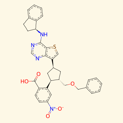 O=C(O)c1ccc([N+](=O)[O-])cc1[C@H]1C[C@@H](c2csc3c(N[C@H]4CCc5ccccc54)ncnc23)C[C@@H]1COCc1ccccc1